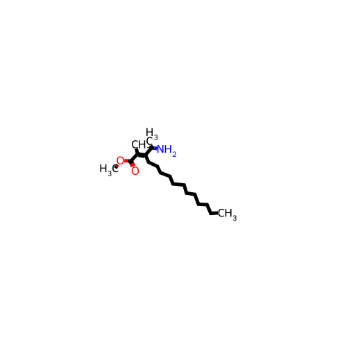 CCCCCCCCCCCCC(=C(C)C(=O)OC)C(C)N